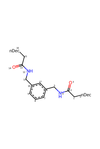 CCCCCCCCCCCC(=O)NCc1cccc(CNC(=O)CCCCCCCCCCC)c1